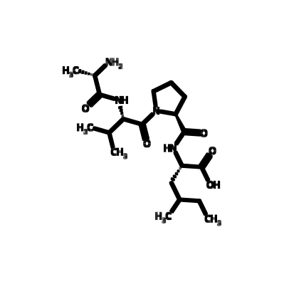 CCC(C)C[C@H](NC(=O)[C@@H]1CCCN1C(=O)[C@@H](NC(=O)[C@H](C)N)C(C)C)C(=O)O